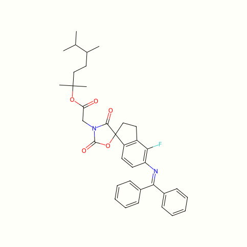 CC(C)C(C)CCC(C)(C)OC(=O)CN1C(=O)OC2(CCc3c2ccc(N=C(c2ccccc2)c2ccccc2)c3F)C1=O